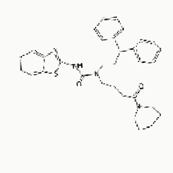 O=C(CCCN(CCC(c1ccccc1)c1ccccc1)C(=O)Nc1nc2ccccc2s1)N1CCCCC1